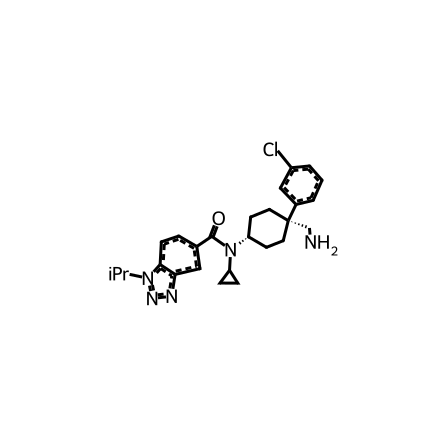 CC(C)n1nnc2cc(C(=O)N(C3CC3)[C@H]3CC[C@](CN)(c4cccc(Cl)c4)CC3)ccc21